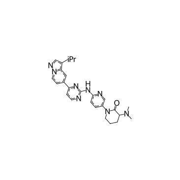 CC(C)c1cnn2ccc(-c3ccnc(Nc4ccc(N5CCCC(N(C)C)C5=O)cn4)n3)cc12